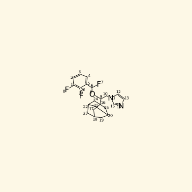 Fc1cccc(C(F)OC(Cn2ccnc2)C23CC4CC(CC(C4)C2)C3)c1F